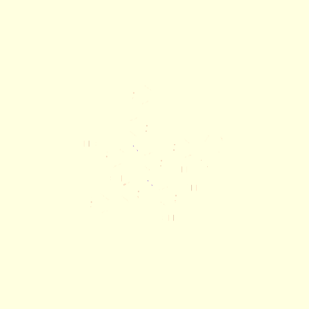 Cc1cc(C)cc(N(c2ccc(-c3ccccc3)cc2)c2cc(-c3ccc4c(c3)C(C)(C)c3ccccc3-4)cc(N(c3ccc(-c4ccccc4)cc3)c3cc(C)cc(C)c3)c2)c1